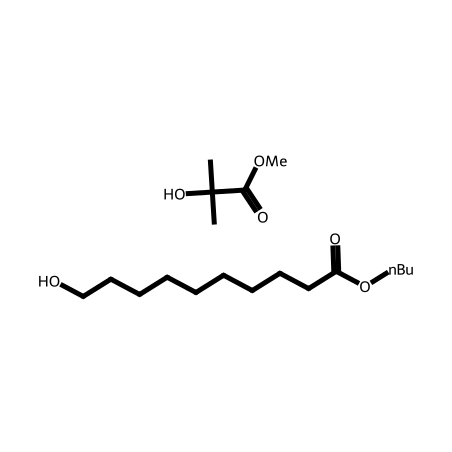 CCCCOC(=O)CCCCCCCCCO.COC(=O)C(C)(C)O